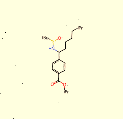 CC(C)CCCCC(N[S+]([O-])C(C)(C)C)c1ccc(C(=O)OC(C)C)cc1